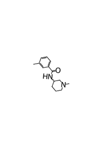 Cc1cccc(C(=O)N[C@@H]2CCCN(C)C2)c1